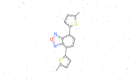 Cc1ccc(-c2ccc(-c3ccc(C)s3)c3nonc23)s1